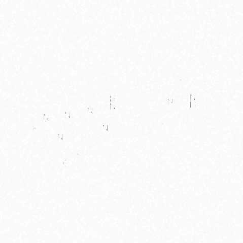 CC(C)NC(=O)N1Cc2cc(Nc3ncc4c(=O)n(-c5c(F)cccc5Cl)c5nccn5c4n3)ccc2C2(CC2)C1